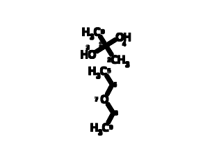 CC(C)(O)O.CCOCC